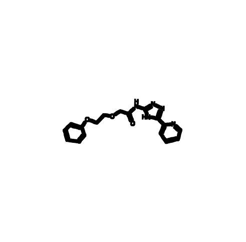 O=C(COCCOc1ccccc1)Nc1nnc(-c2ccccn2)[nH]1